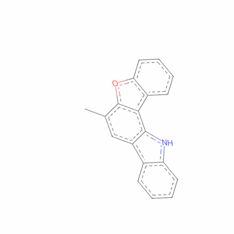 Cc1cc2c3ccccc3[nH]c2c2c1oc1ccccc12